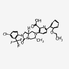 CCOc1ccccc1-c1ccc(N2C[C@H]3CN(c4ccc(Cl)cc4C(F)(F)F)C(=O)N3C[C@H]2C)c(C(=O)O)n1